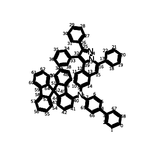 c1ccc(-c2ccc(N(c3ccc4c(c3)cc(-c3ccccc3)n3nc(-c5ccccc5)c(-c5ccccc5)c43)c3cccc4c3-c3ccccc3C43c4ccccc4-c4ccccc43)cc2)cc1